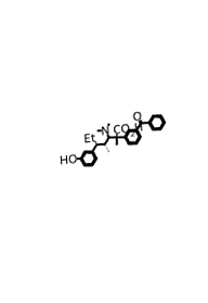 CC[C@@H](c1cccc(O)c1)[C@@H](C)C(N(C)C)[C@](C)(C(=O)O)c1cccc(C(=O)c2ccccc2)c1